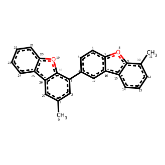 Cc1cc(-c2ccc3oc4c(C)cccc4c3c2)c2oc3ccccc3c2c1